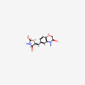 CN1C(=O)COc2ccc(/C=C3\SC(=O)NC3=O)cc21